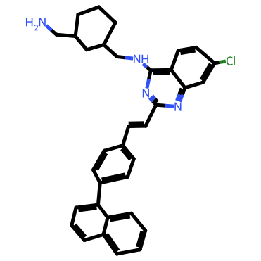 NCC1CCCC(CNc2nc(C=Cc3ccc(-c4cccc5ccccc45)cc3)nc3cc(Cl)ccc23)C1